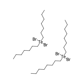 CCCCCCCC[Te](Br)(Br)CCCCCCCC.CCCCCCC[Te](Br)(Br)CCCCCCC